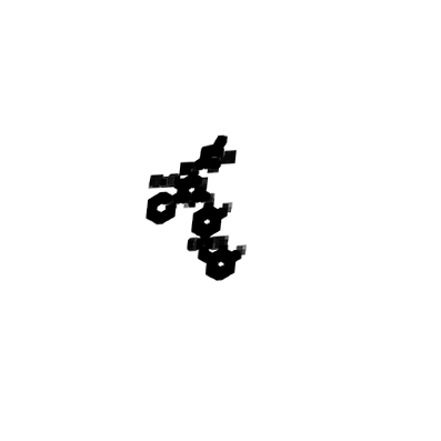 COc1c(Nc2cc(C)[nH]n2)nc(Sc2ccc(S(=O)(=O)Cc3cccc(F)c3F)cc2F)nc1N1CCCCC1